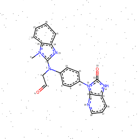 Cn1c(N(CC=O)c2ccc(-n3c(=O)[nH]c4cccnc43)cc2)nc2ccccc21